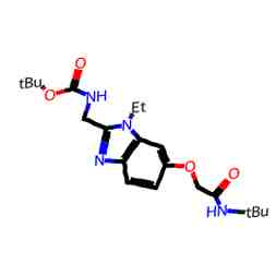 CCn1c(CNC(=O)OC(C)(C)C)nc2ccc(OCC(=O)NC(C)(C)C)cc21